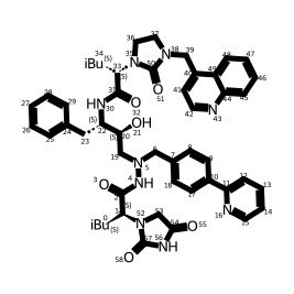 CC[C@H](C)[C@@H](C(=O)NN(Cc1ccc(-c2ccccn2)cc1)C[C@H](O)[C@H](Cc1ccccc1)NC(=O)[C@H]([C@@H](C)CC)N1CCN(Cc2ccnc3ccccc23)C1=O)N1CC(=O)NC1=O